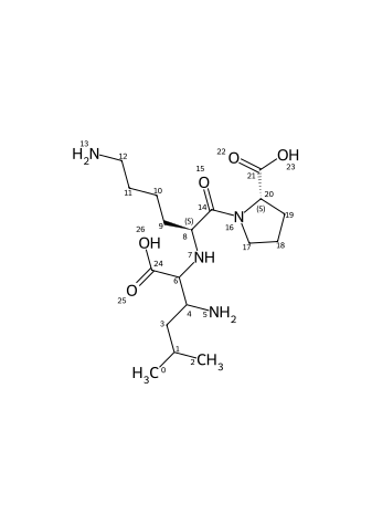 CC(C)CC(N)C(N[C@@H](CCCCN)C(=O)N1CCC[C@H]1C(=O)O)C(=O)O